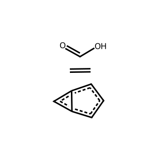 C=C.O=CO.c1cc2cc-2c1